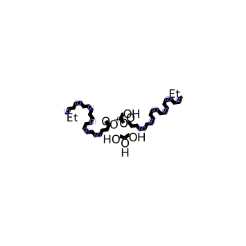 CC/C=C\C/C=C\C/C=C\C/C=C\C/C=C\C/C=C\CCC(=O)OC[C@H](CO)OC(=O)CC/C=C\C/C=C\C/C=C\C/C=C\C/C=C\C/C=C\CC.OCC(O)CO